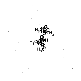 COCC1(C(=O)N[C@@H](C)CCc2ccc(N(CC(C)C)S(=O)(=O)c3ccc(OC)cc3)c(O)c2)CCCC1